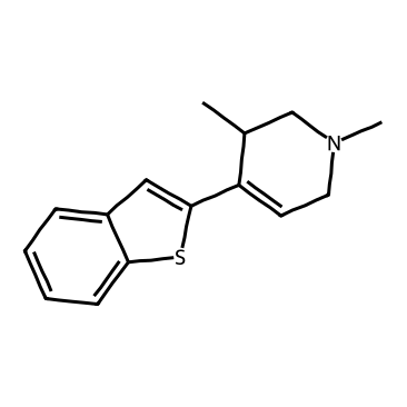 CC1CN(C)CC=C1c1cc2ccccc2s1